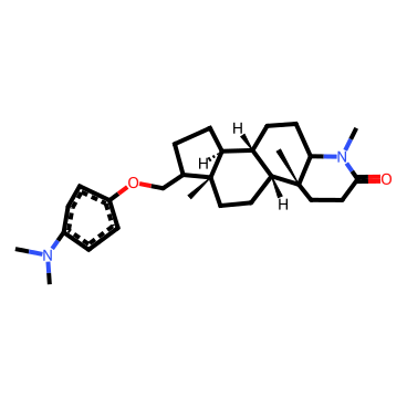 CN(C)c1ccc(OCC2CC[C@H]3[C@@H]4CCC5N(C)C(=O)CC[C@]5(C)[C@@H]4CC[C@]23C)cc1